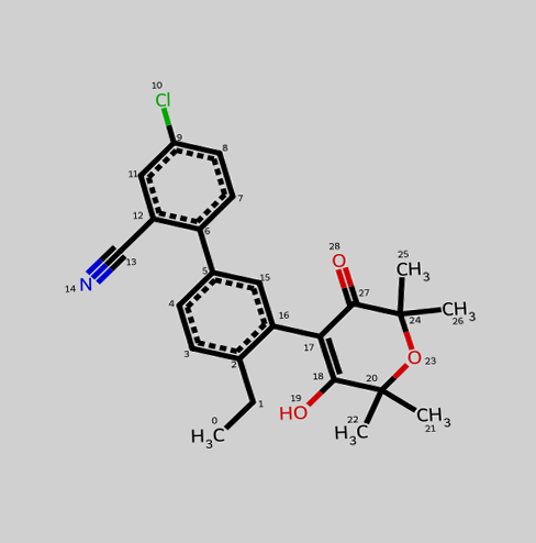 CCc1ccc(-c2ccc(Cl)cc2C#N)cc1C1=C(O)C(C)(C)OC(C)(C)C1=O